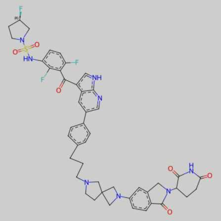 O=C1CCC(N2Cc3cc(N4CC5(CCN(CCCc6ccc(-c7cnc8[nH]cc(C(=O)c9c(F)ccc(NS(=O)(=O)N%10CC[C@@H](F)C%10)c9F)c8c7)cc6)C5)C4)ccc3C2=O)C(=O)N1